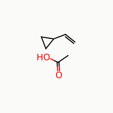 C=CC1CC1.CC(=O)O